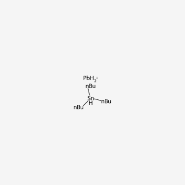 CCC[CH2][SnH]([CH2]CCC)[CH2]CCC.[PbH2]